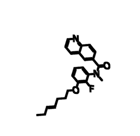 CCC=CCCCOc1cccc(N(C)C(=O)c2ccc3ncccc3c2)c1F